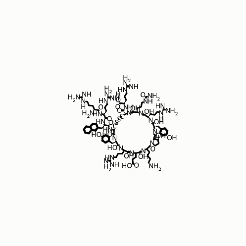 N=C(N)NCCCC1N=C(O)[C@@H](Cc2ccc(O)cc2)N=C(O)C(NC(=O)[C@@H](Cc2ccc3ccccc3c2)NC(=O)[C@H](CCCNC(=N)N)NC(=O)[C@H](N)CCCNC(=N)N)CSSC[C@H](C(=O)N[C@H](CCCNC(=N)N)C(=O)O)N=C(O)[C@@H](CCCNC(N)=O)N=C(O)[C@@H](CCCNC(=N)N)N=C(O)[C@@H](Cc2ccc(O)cc2)N=C(O)[C@@H]2CCCN2C(=O)C(CCCCN)N=C(O)C(CCC(=O)O)N=C1O